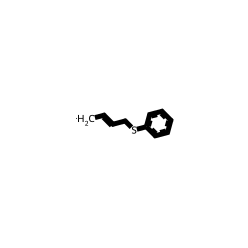 [CH2]C=CCSc1ccccc1